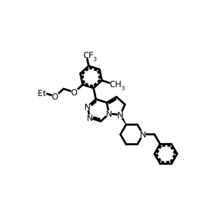 CCOCOc1cc(C(F)(F)F)cc(C)c1C1=NN=CN2C1=CCN2[C@@H]1CCCN(Cc2ccccc2)C1